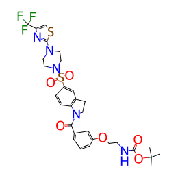 CC(C)(C)OC(=O)NCCOc1cccc(C(=O)N2CCc3cc(S(=O)(=O)N4CCN(c5nc(C(F)(F)F)cs5)CC4)ccc32)c1